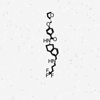 O=C(N[C@H]1CCc2cc(CNCCCC(F)(F)F)ccc2C1)c1ccc(OC[C@@H]2CCCO2)cc1